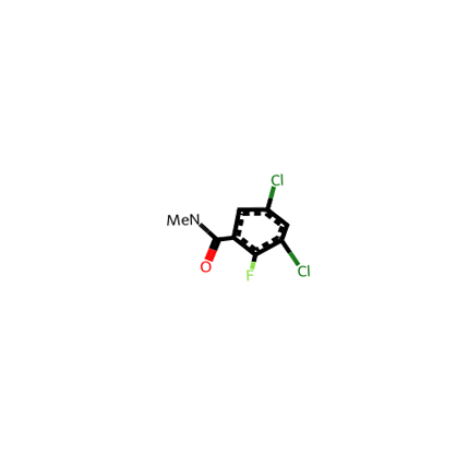 CNC(=O)c1cc(Cl)cc(Cl)c1F